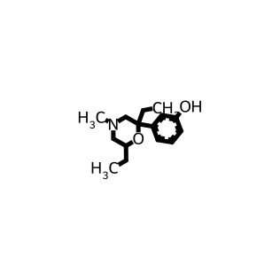 CCC1CN(C)CC(CC)(c2cccc(O)c2)O1